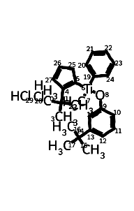 CC(C)(C)C1=[C]([Ti]([CH3])([O]c2cccc(C(C)(C)C)c2)[c]2ccccc2)CC=C1.Cl.Cl